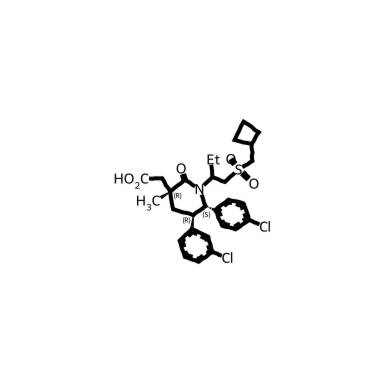 CCC(CS(=O)(=O)CC1CCC1)N1C(=O)[C@@](C)(CC(=O)O)C[C@H](c2cccc(Cl)c2)[C@H]1c1ccc(Cl)cc1